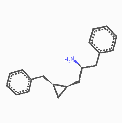 N[C@@H](Cc1ccccc1)C[C@H]1C[C@H]1Cc1ccccc1